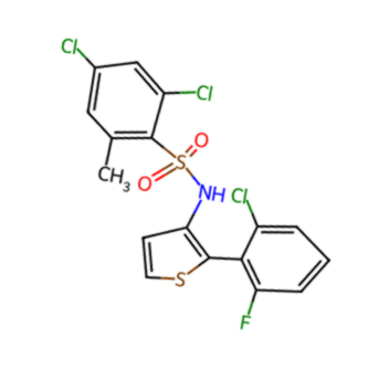 Cc1cc(Cl)cc(Cl)c1S(=O)(=O)Nc1ccsc1-c1c(F)cccc1Cl